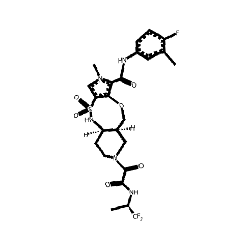 Cc1cc(NC(=O)c2c3c(cn2C)S(=O)(=O)N[C@@H]2CCN(C(=O)C(=O)N[C@H](C)C(F)(F)F)C[C@@H]2CO3)ccc1F